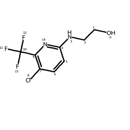 OCCNc1ccc(Cl)c(C(F)(F)F)n1